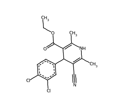 CCOC(=O)C1=C(C)NC(C)=C(C#N)C1c1ccc(Cl)c(Cl)c1